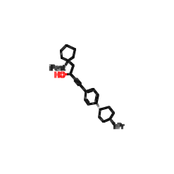 CCCC(C)C1(CC(O)C#Cc2ccc([C@H]3CC[C@H](CCC)CC3)cc2)CCCCC1